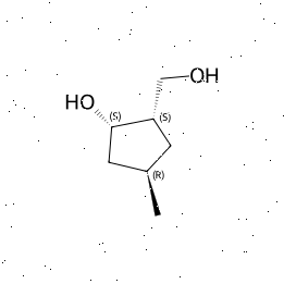 C[C@@H]1C[C@@H](CO)[C@@H](O)C1